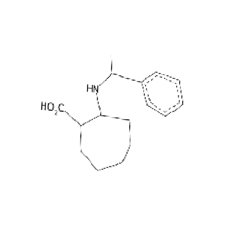 CC(NC1CCCCCC1C(=O)O)c1ccccc1